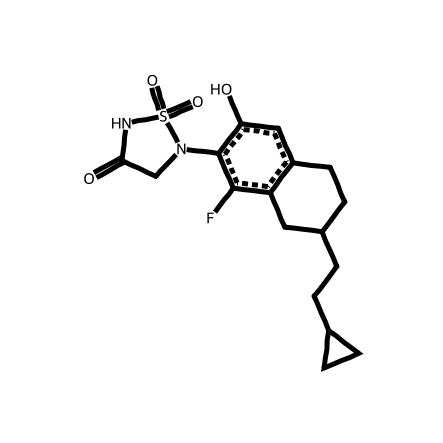 O=C1CN(c2c(O)cc3c(c2F)CC(CCC2CC2)CC3)S(=O)(=O)N1